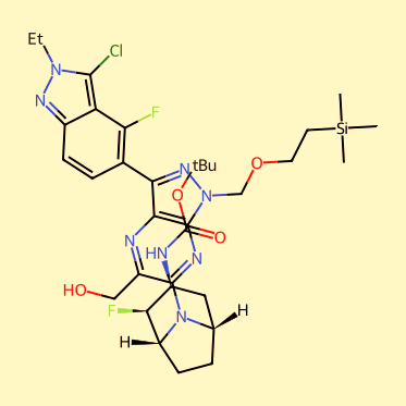 CCn1nc2ccc(-c3nn(COCC[Si](C)(C)C)c4nc(N5[C@H]6CC[C@@H]5[C@@H](F)[C@@H](NC(=O)OC(C)(C)C)C6)c(CO)nc34)c(F)c2c1Cl